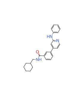 O=C(NCC1CCCCC1)c1cccc(-c2ccnc(Nc3ccccc3)c2)c1